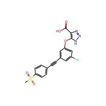 CS(=O)(=O)c1ccc(C#Cc2cc(F)cc(Oc3[nH]nnc3C(=O)O)c2)cc1